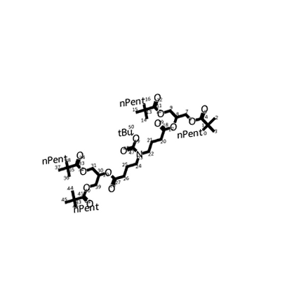 CCCCCC(C)(C)C(=O)OCC(COC(=O)C(C)(C)CCCCC)OC(=O)CCCN(CCCC(=O)OC(COC(=O)C(C)(C)CCCCC)COC(=O)C(C)(C)CCCCC)C(=O)OC(C)(C)C